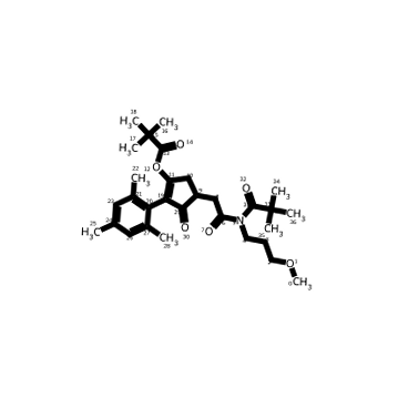 COCCCN(C(=O)CC1CC(OC(=O)C(C)(C)C)=C(c2c(C)cc(C)cc2C)C1=O)C(=O)C(C)(C)C